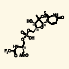 COC[C@@H](COP(=O)(O)OC[C@H]1O[C@@H](n2ccc(=O)[nH]c2=S)C(C)(O)[C@H]1O)NC(=O)C(F)(F)F